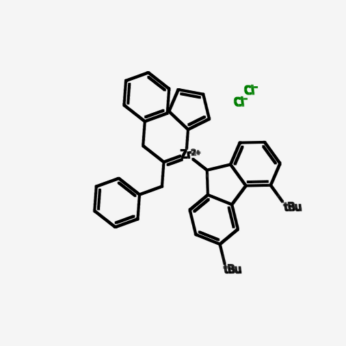 CC(C)(C)c1ccc2c(c1)-c1c(cccc1C(C)(C)C)[CH]2[Zr+2]([C]1=CC=CC1)=[C](Cc1ccccc1)Cc1ccccc1.[Cl-].[Cl-]